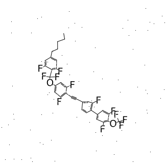 CCCCCc1cc(F)c(C(F)(F)Oc2cc(F)c(C#Cc3ccc(-c4cc(F)c(OC(F)(F)F)c(F)c4)c(F)c3)c(F)c2)c(F)c1